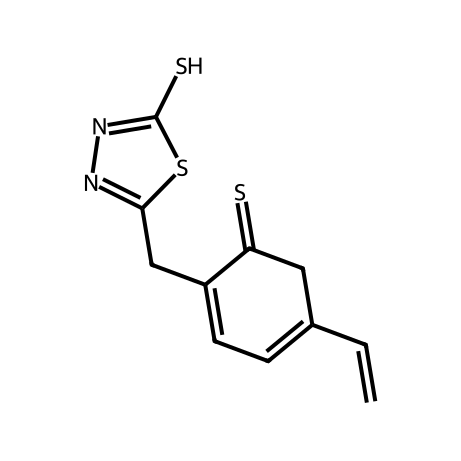 C=CC1=CC=C(Cc2nnc(S)s2)C(=S)C1